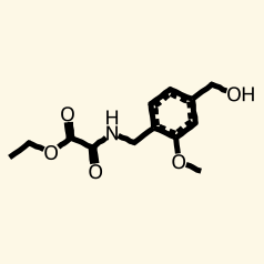 CCOC(=O)C(=O)NCc1ccc(CO)cc1OC